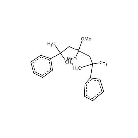 C[O][Ti]([CH2]C(C)(C)c1ccccc1)([CH2]C(C)(C)c1ccccc1)[O]C